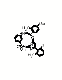 Cc1cc(C(C)(C)C)ccc1[C@H]1CNc2cccc(c2)S(=O)(=O)Nc2nc(cc(-c3c(C)cccc3C)n2)O1